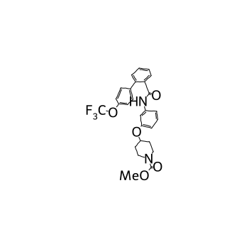 COC(=O)N1CCC(Oc2cccc(NC(=O)c3ccccc3-c3ccc(OC(F)(F)F)cc3)c2)CC1